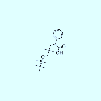 CC(C)(CO[Si](C)(C)C(C)(C)C)CC(C(=O)O)c1ccccc1